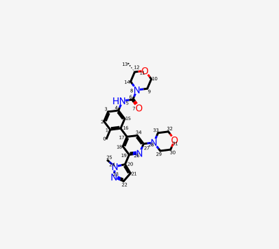 Cc1ccc(NC(=O)N2CCO[C@@H](C)C2)cc1-c1cc(-c2ccnn2C)nc(N2CCOCC2)c1